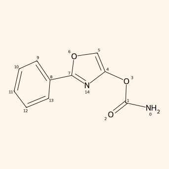 NC(=O)Oc1coc(-c2ccccc2)n1